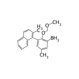 Bc1cc(C)cc(-c2c(C)ccc3ccccc23)c1OCOC